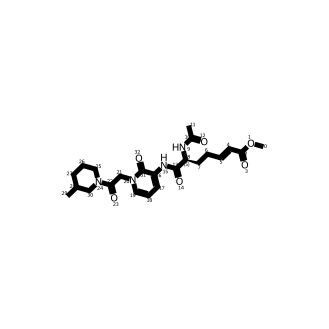 COC(=O)C=CCC[C@H](NC(C)=O)C(=O)Nc1cccn(CC(=O)N2CCCC(C)C2)c1=O